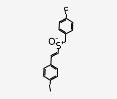 [O-][S+](C=Cc1ccc(I)cc1)Cc1ccc(F)cc1